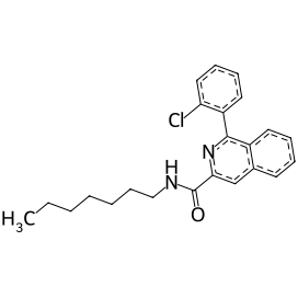 CCCCCCCNC(=O)c1cc2ccccc2c(-c2ccccc2Cl)n1